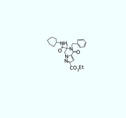 CCOC(=O)c1cc2n(n1)CC(C)(C(=O)NC1CCCCC1)N(Cc1ccccc1)C2=O